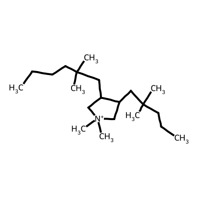 CCCCC(C)(C)CC1C[N+](C)(C)CC1CC(C)(C)CCC